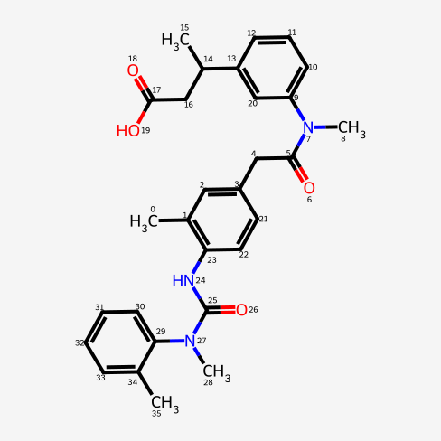 Cc1cc(CC(=O)N(C)c2cccc(C(C)CC(=O)O)c2)ccc1NC(=O)N(C)c1ccccc1C